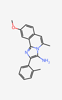 COc1ccc2cc(C)n3c(N)c(-c4ccccc4C)nc3c2c1